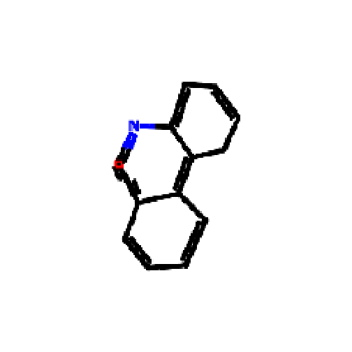 C1=CCC2=C3C=CC=CC34C=CC=CC4=NC2=C1